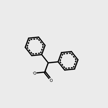 [O]C(=O)C(c1ccccc1)c1ccccc1